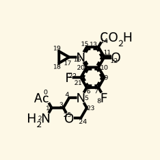 CC(=O)C(N)C1CN(c2c(F)cc3c(=O)c(C(=O)O)cn(C4CC4)c3c2F)CCO1